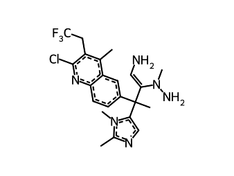 Cc1c(CC(F)(F)F)c(Cl)nc2ccc(C(C)(/C(=C/N)N(C)N)c3cnc(C)n3C)cc12